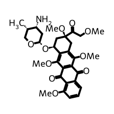 COCC(=O)[C@]1(OC)Cc2c(OC)c3c(c(OC)c2[C@@H](O[C@H]2C[C@@H](N)[C@@H](C)CO2)C1)C(=O)c1c(OC)cccc1C3=O